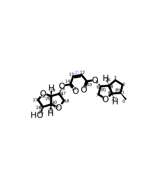 C[C@@H]1CC[C@H]2[C@@H]1OC[C@@H]2OC(=O)/C=C\C(=O)O[C@@H]1CO[C@H]2[C@@H]1OC[C@@H]2O